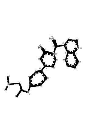 CC(CN(C)C)Oc1ccc(-c2ccn(C(=N)c3ccnc4ccccc34)c(=N)c2)cc1